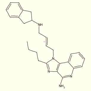 CCCCc1nc2c(N)nc3ccccc3c2n1C/C=C/CNC1Cc2ccccc2C1